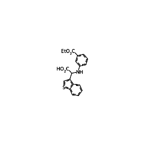 CCOC(=O)c1cccc(NC(C(=O)O)c2csc3ccccc23)c1